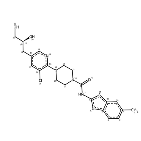 Cc1ccc2nc(NC(=O)N3CCN(c4ncc(C[C@H](O)CO)cc4Cl)CC3)sc2c1